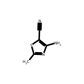 Cc1nc(N)c(C#N)s1